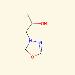 CC(O)CN1COC=N1